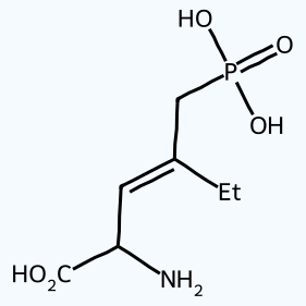 CC/C(=C\C(N)C(=O)O)CP(=O)(O)O